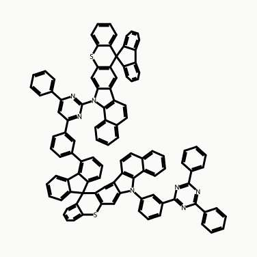 c1ccc(-c2cc(-c3cccc(-c4cccc5c4-c4ccccc4C54c5ccccc5Sc5cc6c(cc54)c4ccc5ccccc5c4n6-c4cccc(-c5nc(-c6ccccc6)nc(-c6ccccc6)n5)c4)c3)nc(-n3c4cc5c(cc4c4ccc6ccccc6c43)C3(c4ccccc4S5)c4ccccc4-c4ccccc43)n2)cc1